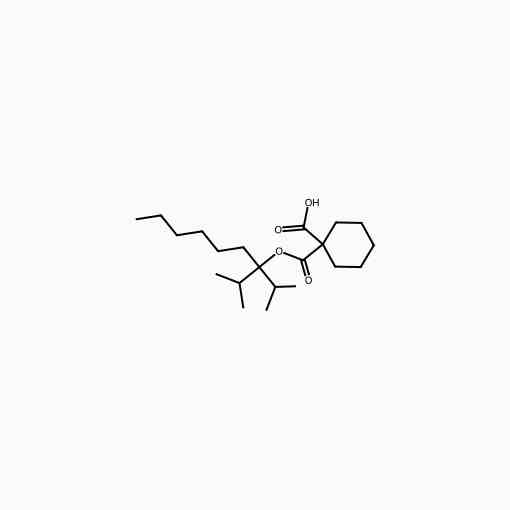 CCCCCCC(OC(=O)C1(C(=O)O)CCCCC1)(C(C)C)C(C)C